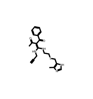 C#CCNC(NCCSCc1[nH]cnc1C)=C(C(C)=O)C(=O)c1ccccc1